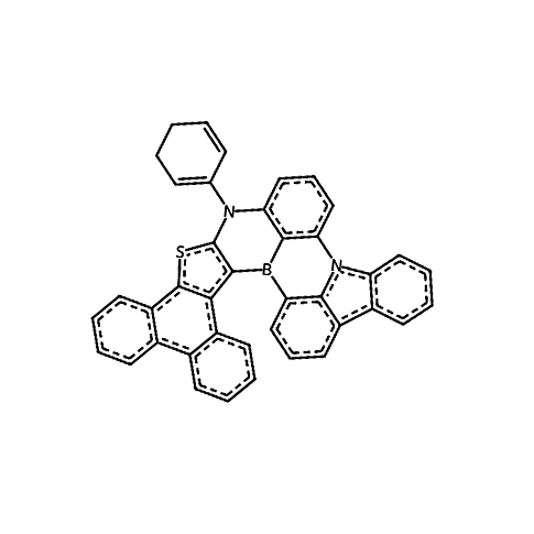 C1=CC(N2c3cccc4c3B(c3c2sc2c5ccccc5c5ccccc5c32)c2cccc3c5ccccc5n-4c23)=CCC1